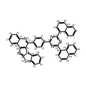 c1ccc2c(-c3nc(-c4ccc(-c5nc6ccccc6c6nc7sc8ccccc8n7c56)cc4)nc(-c4cccc5ccccc45)n3)cccc2c1